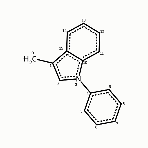 [CH2]c1cn(-c2ccccc2)c2ccccc12